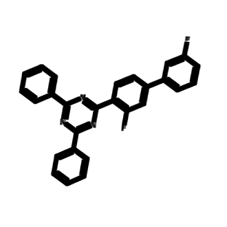 Fc1cccc(-c2ccc(-c3nc(-c4ccccc4)nc(-c4ccccc4)n3)c(F)c2)c1